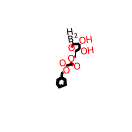 B[C@@H]1O[C@H](COC(=O)C(=O)OCc2ccccc2)C(O)C1O